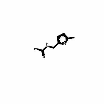 Cc1ccc(CNC(=O)C(C)C)o1